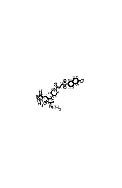 C/N=c1\sc(C2CCN(C(=O)CCS(=O)(=O)c3ccc4cc(Cl)ccc4c3)CC2)c(Cc2nnn[nH]2)n1C